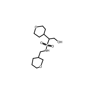 O=S(=O)(NCC1CCCOC1)C(CO)C1CCOCC1